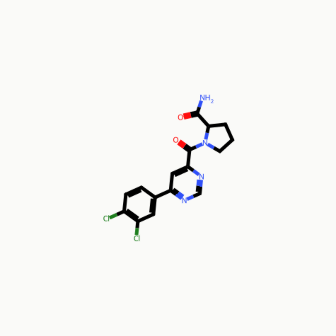 NC(=O)C1CCCN1C(=O)c1cc(-c2ccc(Cl)c(Cl)c2)ncn1